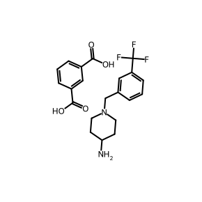 NC1CCN(Cc2cccc(C(F)(F)F)c2)CC1.O=C(O)c1cccc(C(=O)O)c1